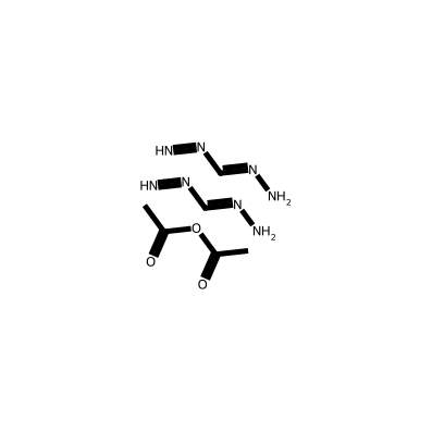 CC(=O)OC(C)=O.N=NC=NN.N=NC=NN